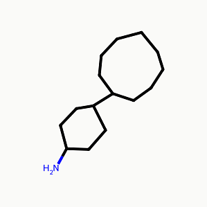 NC1CCC(C2CCCCCCCC2)CC1